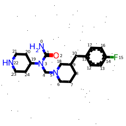 NC(=O)N(CN1CCCC(Cc2ccc(F)cc2)C1)C1CCNCC1